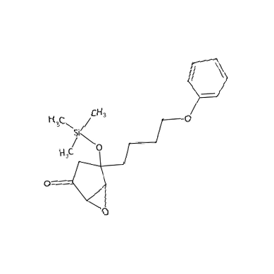 C[Si](C)(C)OC1(CCCCOc2ccccc2)CC(=O)C2OC21